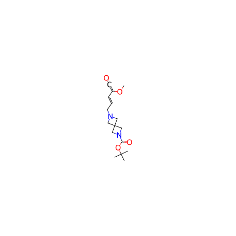 COC(=C=O)/C=C/CN1CC2(C1)CN(C(=O)OC(C)(C)C)C2